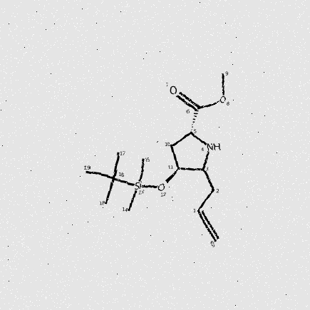 C=CCC1N[C@@H](C(=O)OC)C[C@@H]1O[Si](C)(C)C(C)(C)C